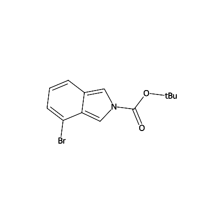 CC(C)(C)OC(=O)n1cc2cccc(Br)c2c1